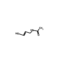 CC(=O)NCC=CO